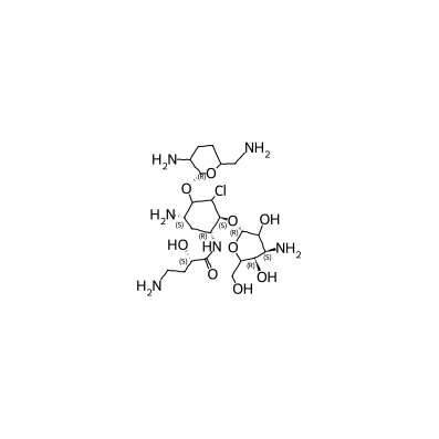 NCC[C@H](O)C(=O)N[C@@H]1C[C@H](N)C(O[C@H]2OC(CN)CCC2N)C(Cl)[C@H]1O[C@H]1OC(CO)[C@H](O)[C@H](N)C1O